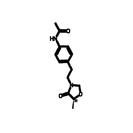 CC(=O)Nc1ccc(CCN2CO[C@H](C)C2=O)cc1